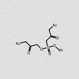 CC(=O)CC(=O)C[O][Ti](=[O])([CH2]C(=O)CC(C)=O)[O]C(C)C